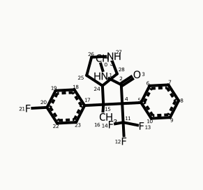 CNC(=O)C(c1ccccc1)(C(F)(F)F)C(C)(c1ccc(F)cc1)C1CCNC1